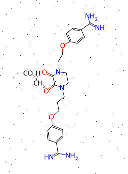 CC(=O)O.N=C(N)c1ccc(OCCCN2CCN(CCOc3ccc(C(=N)N)cc3)C(=O)C2=O)cc1